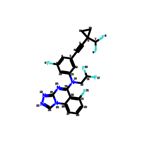 Fc1cc(C#CC2(C(F)F)CC2)cc(N(CC(F)F)c2nc3nncn3c3cccc(F)c23)c1